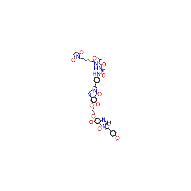 COc1ccc(C2=CN3C(=O)c4cc(OC)c(OCCCOc5cc6c(cc5OC)C(=O)N5C=C(c7ccc(NC(=O)[C@H](C)NC(=O)C(NC(=O)CCCCCN8C(=O)C=CC8=O)C(C)C)cc7)CC5C=N6)cc4N=C[C@@H]3C2)cc1